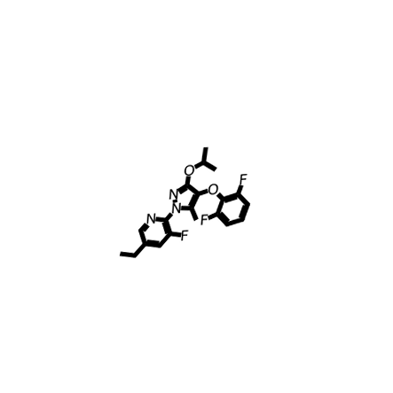 CCc1cnc(-n2nc(OC(C)C)c(Oc3c(F)cccc3F)c2C)c(F)c1